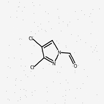 O=Cn1cc(Cl)c(Cl)n1